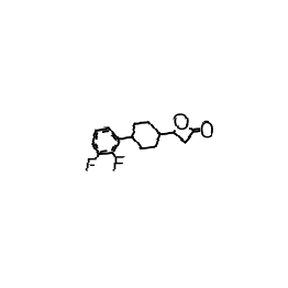 O=C1CC(C2CCC(c3cccc(F)c3F)CC2)O1